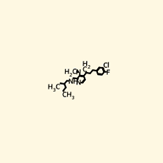 C=Nc1c(C(=C)CCc2ccc(F)c(Cl)c2)ccnc1CNCC(CC)CCC